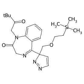 CC(C)(C)C(=O)CN1C(=O)CN=C(C2(COCC[Si](C)(C)C)C=CN=N2)c2ccccc21